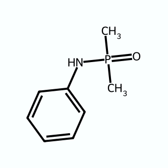 CP(C)(=O)Nc1ccccc1